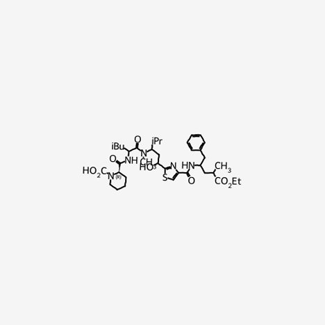 CCOC(=O)C(C)CC(Cc1ccccc1)NC(=O)c1csc(C(O)CC(C(C)C)N(C)C(=O)C(NC(=O)[C@H]2CCCCN2C(=O)O)C(C)CC)n1